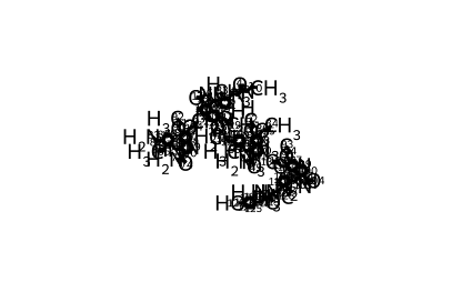 CCNC(=O)NCc1cccc(Nc2c(C(N)=O)cnc3cc(OCC)c(OCC)cc23)c1C.CCOc1cc2ncc(C(N)=O)c(Nc3cccc(CN)c3C)c2cc1OCC.CCOc1cc2ncc(C(N)=O)c(Nc3cccc(CN)c3CC)c2cc1OCC.CCOc1cc2ncc(C(N)=O)c(Nc3cccc(CNC(=O)[C@@H](N)Cc4ccc(O)cc4)c3CC)c2cc1OCC